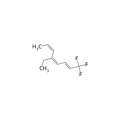 C\C=C/C(=C\C=C\C(F)(F)F)CC